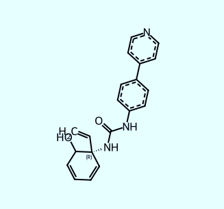 C=C[C@@]1(NC(=O)Nc2ccc(-c3ccncc3)cc2)C=CC=CC1O